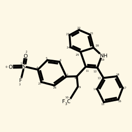 O=S(=O)(F)c1ccc(C(CC(F)(F)F)c2c(-c3ccccc3)[nH]c3ccccc23)cc1